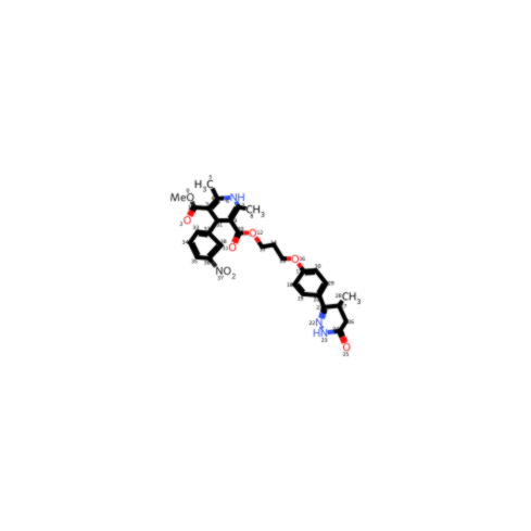 COC(=O)C1=C(C)NC(C)=C(C(=O)OCCCOc2ccc(C3=NNC(=O)CC3C)cc2)C1c1cccc([N+](=O)[O-])c1